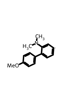 COc1ccc(-c2cc[c]cc2N(C)C)cc1